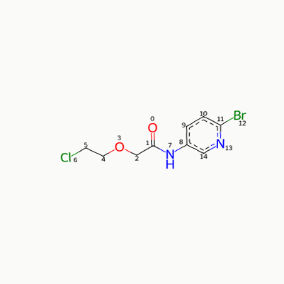 O=C(COCCCl)Nc1ccc(Br)nc1